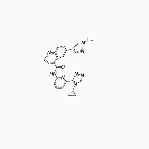 CC(C)n1cc(-c2ccc3nccc(C(=O)Nc4cccc(-c5nncn5C5CC5)n4)c3c2)cn1